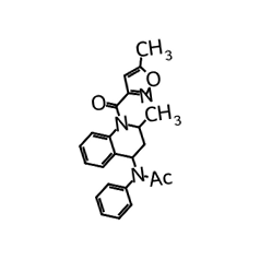 CC(=O)N(c1ccccc1)C1CC(C)N(C(=O)c2cc(C)on2)c2ccccc21